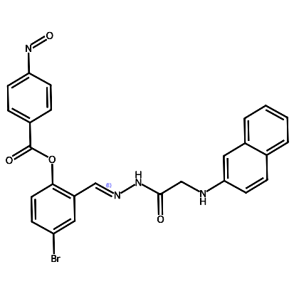 O=Nc1ccc(C(=O)Oc2ccc(Br)cc2/C=N/NC(=O)CNc2ccc3ccccc3c2)cc1